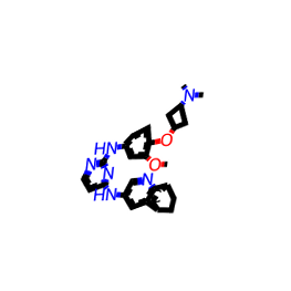 COc1cc(Nc2nccc(Nc3cnc4c(c3)C3CCC4CC3)n2)ccc1OC1CC(N(C)C)C1